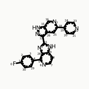 Fc1ccc(-c2nccc3[nH]c(-c4n[nH]c5cnc(-c6ccncc6)cc45)nc23)cc1